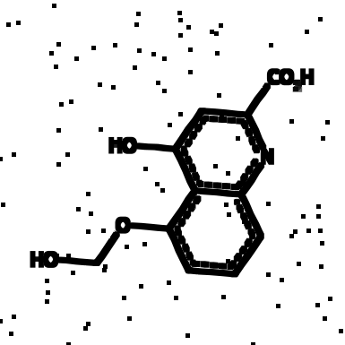 O=C(O)c1cc(O)c2c(OCO)cccc2n1